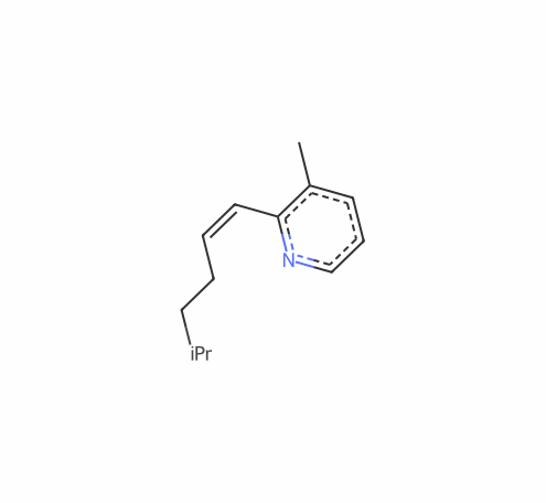 Cc1cccnc1/C=C\CCC(C)C